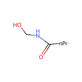 CC[CH]C(=O)NCO